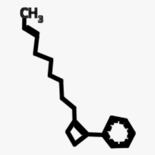 CC=CCCCCCCC1=C(c2ccccc2)CC1